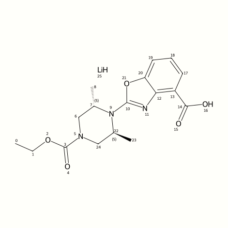 CCOC(=O)N1C[C@H](C)N(c2nc3c(C(=O)O)cccc3o2)[C@@H](C)C1.[LiH]